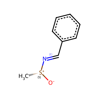 C[S@@+]([O-])/N=C/c1ccccc1